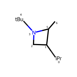 CC(C)C1CN(C(C)(C)C)C1C